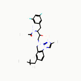 CC(=O)NC(Cc1cc(F)cc(F)c1)C(O)CNCc1cc(CC(C)(C)C)ccc1-n1cnc(C)c1